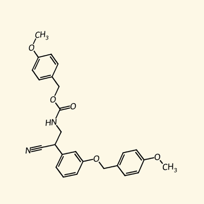 COc1ccc(COC(=O)NCC(C#N)c2cccc(OCc3ccc(OC)cc3)c2)cc1